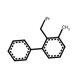 Cc1cccc(-c2ccccc2)c1CC(C)C